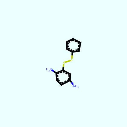 Nc1ccc(N)c(SSc2ccccc2)c1